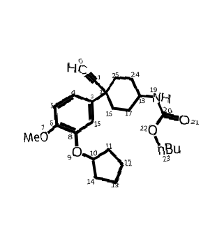 C#CC1(c2ccc(OC)c(OC3CCCC3)c2)CCC(NC(=O)OCCCC)CC1